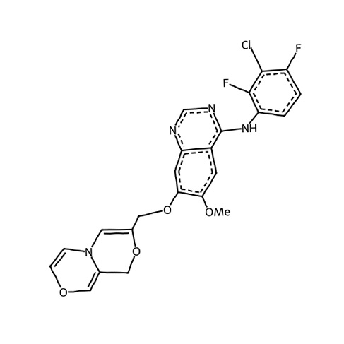 COc1cc2c(Nc3ccc(F)c(Cl)c3F)ncnc2cc1OCC1=CN2C=COC=C2CO1